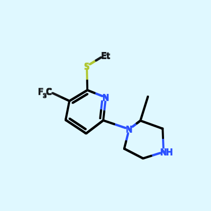 CCSc1nc(N2CCNCC2C)ccc1C(F)(F)F